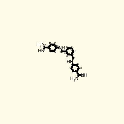 N=C(N)c1ccc(NCc2cccc(CNc3ccc(C(=N)N)cc3)c2)cc1